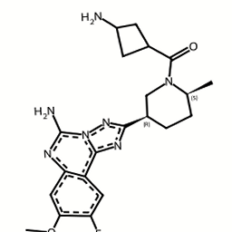 COc1cc2nc(N)n3nc([C@@H]4CC[C@H](C)N(C(=O)C5CC(N)C5)C4)nc3c2cc1F